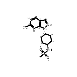 CS(=O)(=O)N[C@H]1CC[C@H](n2ncc3cnc(Cl)nc32)CC1